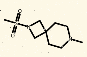 CN1CCC2(CC1)CN(S(C)(=O)=O)C2